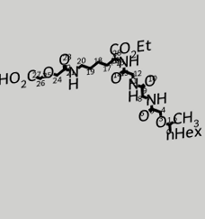 CCCCCCC(C)OCC(=O)NCC(=O)NCC(=O)N[C@@H](CCCCNC(=O)COCC(=O)O)C(=O)OCC